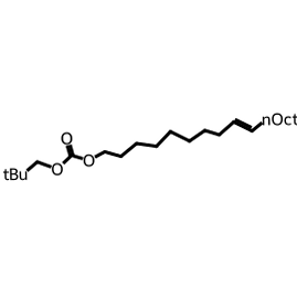 CCCCCCCC/C=C/CCCCCCCCOC(=O)OCC(C)(C)C